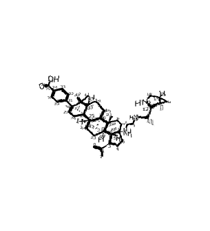 C=C(C)[C@@H]1CC[C@]2(NCCNC[C@H]3NC[C@@H]4CC43)CC[C@]3(C)[C@H](CC[C@@H]4[C@@]5(C)CC=C(c6ccc(C(=O)O)cc6)C(C)(C)[C@@H]5CC[C@]43C)[C@@H]12